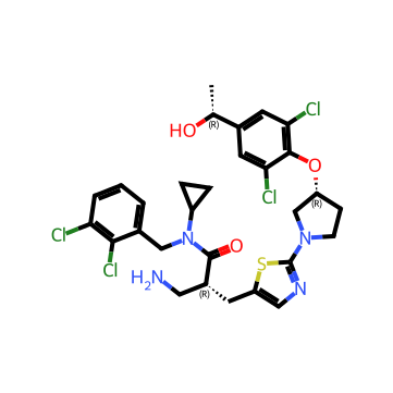 C[C@@H](O)c1cc(Cl)c(O[C@@H]2CCN(c3ncc(C[C@H](CN)C(=O)N(Cc4cccc(Cl)c4Cl)C4CC4)s3)C2)c(Cl)c1